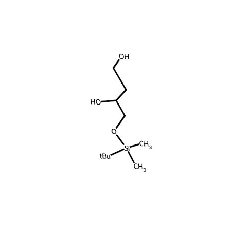 CC(C)(C)[Si](C)(C)OCC(O)CCO